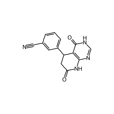 N#Cc1cccc(C2CC(=O)Nc3nc[nH]c(=O)c32)c1